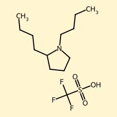 CCCCC1CCCN1CCCC.O=S(=O)(O)C(F)(F)F